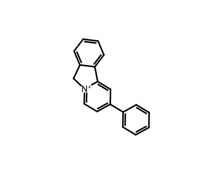 c1ccc(-c2cc[n+]3c(c2)-c2ccccc2C3)cc1